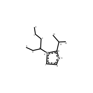 CCCC(CC)n1ccnc1C(C)C